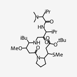 CCC(C)C(NCC(=O)C(NC(=O)C(C(C)C)N(C)C)C(C)C)C(CC(=O)N1CCCC1C(CC(=O)OC(C)(C)C)SC)OC